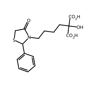 O=C1CSC(c2ccccc2)N1CCCCC(O)(C(=O)O)C(=O)O